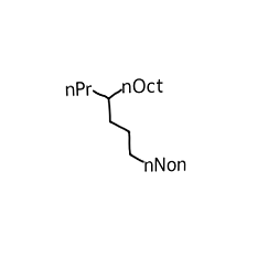 CCCCCCCCCCCCC(CCC)CCCCCCCC